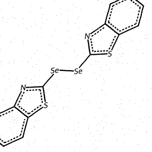 c1ccc2sc([Se][Se]c3nc4ccccc4s3)nc2c1